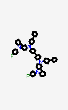 Fc1ccc(-n2c3ccccc3c3cc(N(c4ccc(-c5ccccc5)cc4)c4ccc(-c5ccc(N(c6ccc(-c7ccccc7)cc6)c6ccc7c(c6)c6ccccc6n7-c6ccc(F)cc6)cc5)cc4)ccc32)cc1